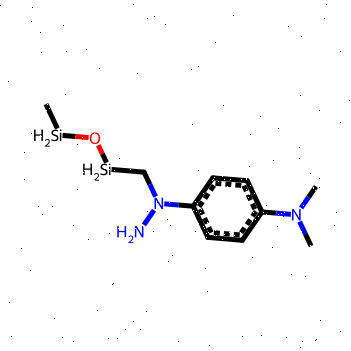 C[SiH2]O[SiH2]CN(N)c1ccc(N(C)C)cc1